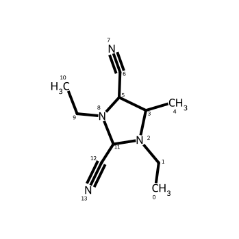 CCN1C(C)C(C#N)N(CC)C1C#N